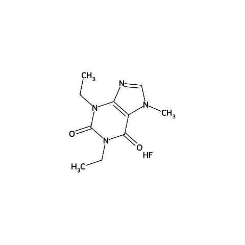 CCn1c(=O)c2c(ncn2C)n(CC)c1=O.F